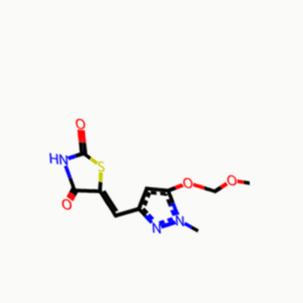 COCOc1cc(/C=C2\SC(=O)NC2=O)nn1C